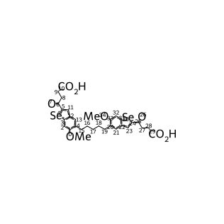 COc1cc2[se]c(C(=O)CCC(=O)O)cc2cc1CCCCCc1cc2cc(C(=O)CCC(=O)O)[se]c2cc1OC